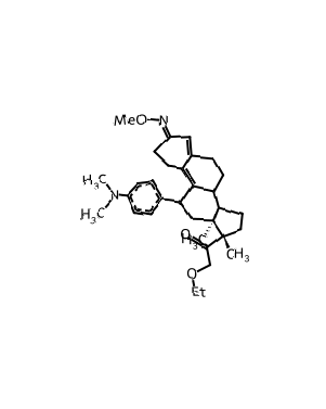 CCOCC(=O)[C@@]1(C)CCC2C3CCC4=C/C(=N/OC)CCC4=C3C(c3ccc(N(C)C)cc3)C[C@@]21C